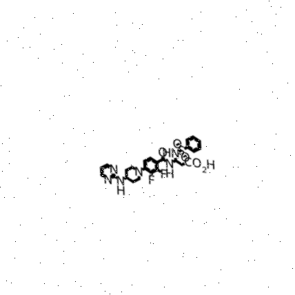 O=C(O)CC(NC(=O)c1ccc(N2CCC(Nc3ncccn3)CC2)c(F)c1F)NS(=O)(=O)c1ccccc1